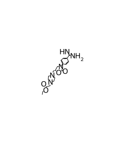 CCOC(=O)CN1CCN(C[C@H]2CN(c3ccc(C(=N)N)cc3)C(=O)O2)CC1